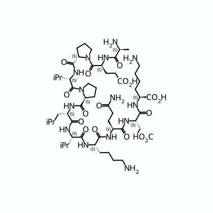 CC(C)C[C@H](NC(=O)[C@@H]1CCCN1C(=O)[C@@H](NC(=O)[C@@H]1CCCN1C(=O)[C@H](CCC(=O)O)NC(=O)[C@H](C)N)C(C)C)C(=O)N[C@H](C(=O)N[C@@H](CCCCN)C(=O)N[C@@H](CCC(N)=O)C(=O)N[C@@H](CC(=O)O)C(=O)N[C@@H](CCCCN)C(=O)O)C(C)C